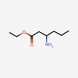 CCCC(N)CC(=O)OCC